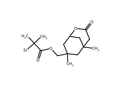 CCC(C)(C)C(=O)OCC1(C)CC2CC(C)(CC(=O)O2)C1